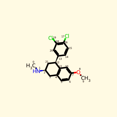 CN[C@@H]1Cc2ccc(OC)cc2[C@H](c2ccc(Cl)c(Cl)c2)C1